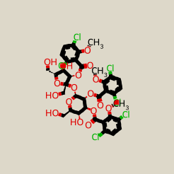 COc1c(Cl)ccc(Cl)c1C(=O)O[C@H]1[C@@H](O[C@]2(CO)O[C@H](CO)[C@@H](O)[C@@H]2OC(=O)c2c(Cl)ccc(Cl)c2OC)O[C@H](CO)[C@@H](O)[C@@H]1OC(=O)c1c(Cl)ccc(Cl)c1OC